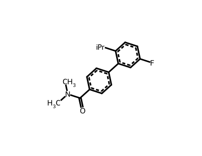 CC(C)c1ccc(F)cc1-c1ccc(C(=O)N(C)C)cc1